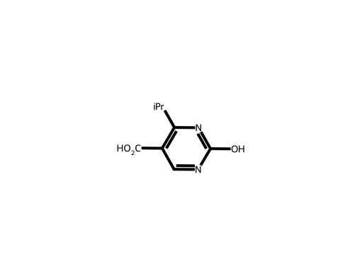 CC(C)c1nc(O)ncc1C(=O)O